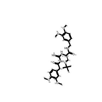 COc1ccc(CNC(=O)[C@@H](COC(C)(C)C)NC(=N)NC(=O)Cc2ccc(OC)c(OC)c2)cc1OC